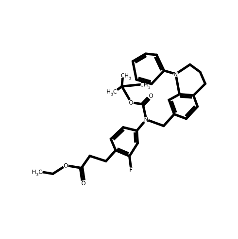 CCOC(=O)CCc1ccc(N(Cc2ccc3c(c2)N(c2ccccc2)CCC3)C(=O)OC(C)(C)C)cc1F